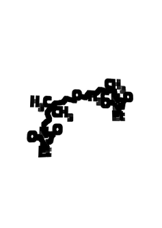 CCN1CC(=O)N(CCCC(C)(C)CCCCOCCCCC(C)(C)CN2C(=O)CN(CC)C2=O)C1=O